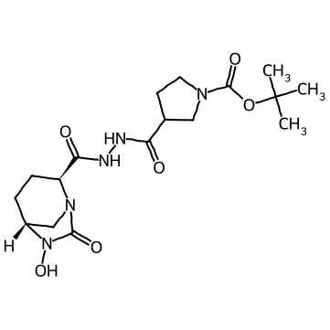 CC(C)(C)OC(=O)N1CCC(C(=O)NNC(=O)[C@@H]2CC[C@@H]3CN2C(=O)N3O)C1